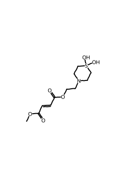 COC(=O)/C=C/C(=O)OCCN1CCS(O)(O)CC1